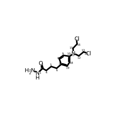 NNC(=O)CCCc1ccc(N(CCCl)CCCl)cc1